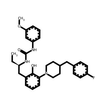 CC[C@H](Cc1cccc(N2CCC(Cc3ccc(F)cc3)CC2)c1O)NC(=O)Nc1cccc(OC)c1